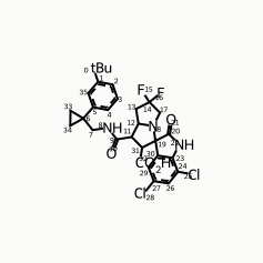 CC(C)(C)c1cccc(C2(CNC(=O)C3C4CC(F)(F)CN4C4(C(=O)Nc5c(Cl)cc(Cl)cc54)C3C(=O)O)CC2)c1